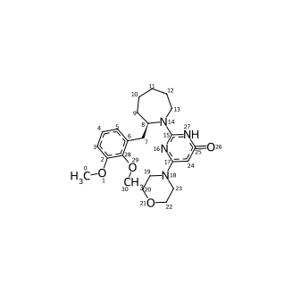 COc1cccc(C[C@H]2CCCCCN2c2nc(N3CCOCC3)cc(=O)[nH]2)c1OC